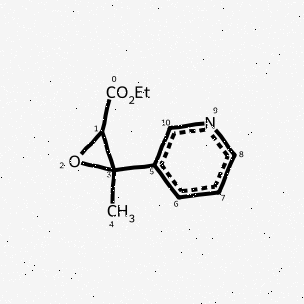 CCOC(=O)C1OC1(C)c1cccnc1